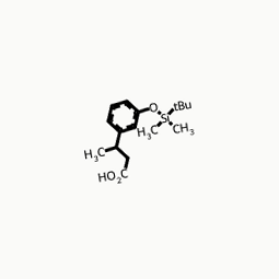 CC(CC(=O)O)c1cccc(O[Si](C)(C)C(C)(C)C)c1